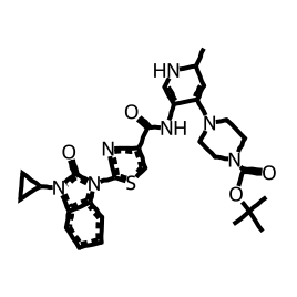 CC1C=C(N2CCN(C(=O)OC(C)(C)C)CC2)C(NC(=O)c2csc(-n3c(=O)n(C4CC4)c4ccccc43)n2)=CN1